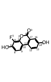 O=c1oc2c(F)c(O)ccc2c2ccc(O)cc12